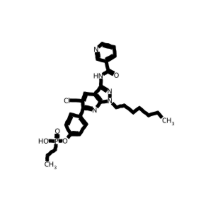 CCCCCCCn1nc(NC(=O)c2cccnc2)c2cc(Cl)c(-c3ccc(OP(=O)(O)CCC)cc3)nc21